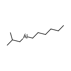 CCCCC[CH2][Al][CH2]C(C)C